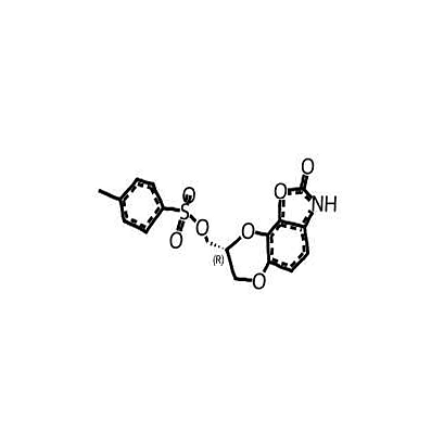 Cc1ccc(S(=O)(=O)OC[C@H]2COc3ccc4[nH]c(=O)oc4c3O2)cc1